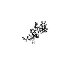 N#CCN1CCC(C2c3cccc(C4CC(O)C(C5c6ccccc6-c6cncn65)CN4CC#N)c3-c3cncn32)C(O)C1